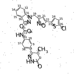 CC1CC(=O)NN=C1c1ccc(NC(=O)Oc2nn(Cc3cc(-c4ccc(Cl)s4)on3)c3ccccc23)cc1